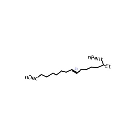 [CH2]CCCCCCCCCCCCCCC/C=C/CCCCC(CC)CCCC[CH2]